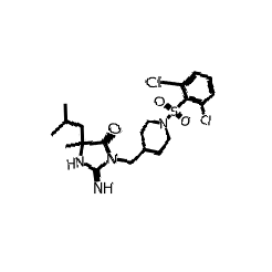 CC(C)CC1(C)NC(=N)N(CC2CCN(S(=O)(=O)c3c(Cl)cccc3Cl)CC2)C1=O